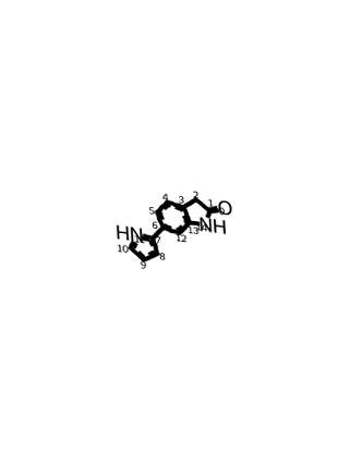 O=C1Cc2ccc(-c3ccc[nH]3)cc2N1